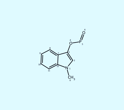 Cn1cc(OP=O)c2ccccc21